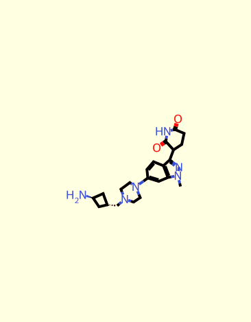 Cn1nc(C2CCC(=O)NC2=O)c2ccc(N3CCN(C[C@H]4C[C@H](N)C4)CC3)cc21